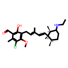 CCNC1CC[C@@H](C)[C@](C)(/C=C/C(C)=C/Cc2c(O)c(C=O)c(C)c(Cl)c2OC)[C@H]1C